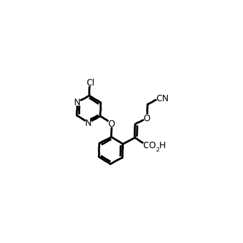 N#CCOC=C(C(=O)O)c1ccccc1Oc1cc(Cl)ncn1